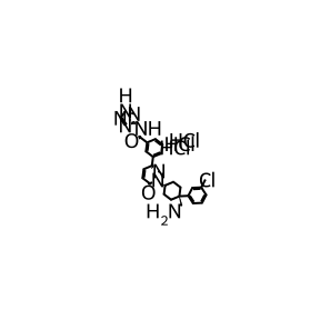 Cl.Cl.Cl.NC[C@]1(c2cccc(Cl)c2)CC[C@@H](n2nc(-c3cccc(C(=O)Nc4nn[nH]n4)c3)ccc2=O)CC1